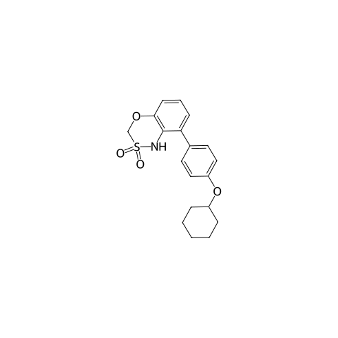 O=S1(=O)COc2cccc(-c3ccc(OC4CCCCC4)cc3)c2N1